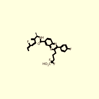 C=C(/C=C\C(F)=C/C)[C@@H](C)NC(=O)c1ccc2nc(-c3ccc(F)cc3)c(CCCC(F)(F)C(=O)O)nc2c1